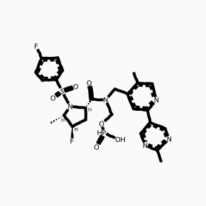 Cc1ncc(-c2cc(CN(CO[PH](=O)O)C(=O)[C@@H]3C[C@@H](F)[C@H](C)N3S(=O)(=O)c3ccc(F)cc3)c(C)cn2)cn1